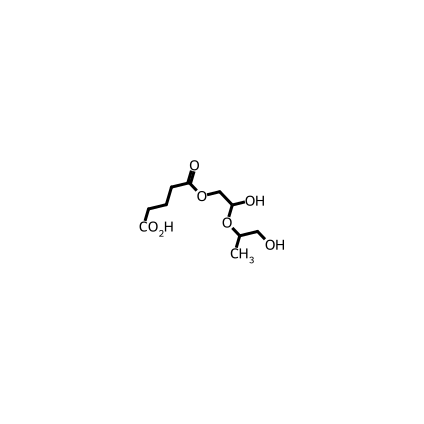 CC(CO)OC(O)COC(=O)CCCC(=O)O